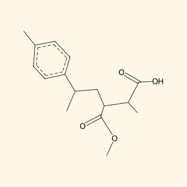 COC(=O)C(CC(C)c1ccc(C)cc1)C(C)C(=O)O